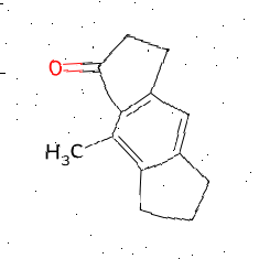 Cc1c2c(cc3c1C(=O)CC3)CCC2